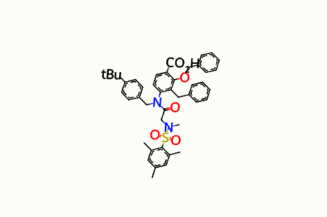 Cc1cc(C)c(S(=O)(=O)N(C)CC(=O)N(Cc2ccc(C(C)(C)C)cc2)c2ccc(C(=O)O)c(OCc3ccccc3)c2Cc2ccccc2)c(C)c1